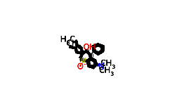 CCCCC1(CCCC)C[S@+]([O-])c2ccc(N(C)C)cc2[C@@H](c2ccccc2)[C@H]1O